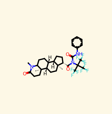 CN1C(=O)CC[C@@]2(C)C1CC[C@@H]1[C@@H]3CC[C@H](C(=O)N(C(=O)Nc4ccccc4)C(C(F)(F)F)(C(F)(F)F)C(F)(F)F)[C@@]3(C)CC[C@@H]12